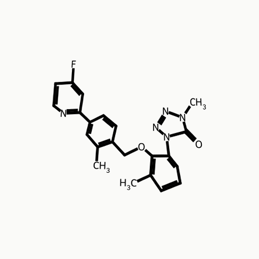 Cc1cc(-c2cc(F)ccn2)ccc1COc1c(C)cccc1-n1nnn(C)c1=O